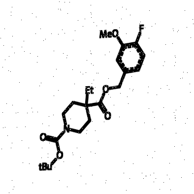 CCC1(C(=O)OCc2ccc(F)c(OC)c2)CCN(C(=O)OC(C)(C)C)CC1